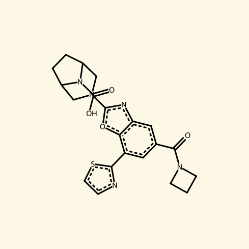 O=C(c1cc(-c2nccs2)c2oc(N3CC4CCC(C3)N4C(=O)O)nc2c1)N1CCC1